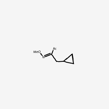 CO/N=C(/CC1CC1)C(C)=O